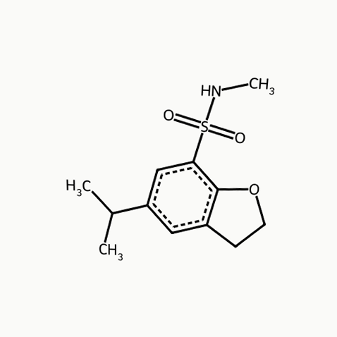 CNS(=O)(=O)c1cc(C(C)C)cc2c1OCC2